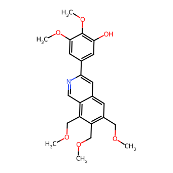 COCc1cc2cc(-c3cc(O)c(OC)c(OC)c3)ncc2c(COC)c1COC